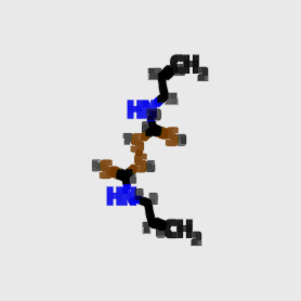 C=CCNC(=S)SSC(=S)NCC=C